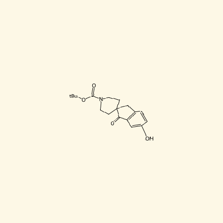 CC(C)(C)OC(=O)N1CCC2(CC1)Cc1ccc(O)cc1C2=O